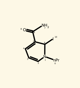 CCCN1C=CC=C(C(N)=O)C1I